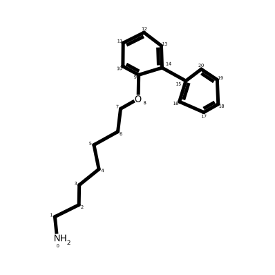 NCCCCCCCOc1ccccc1-c1ccccc1